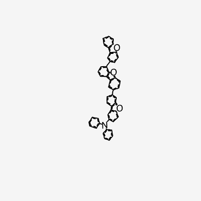 c1ccc(N(c2ccccc2)c2ccc3oc4cc(-c5ccc6oc7c(-c8ccc9oc%10ccccc%10c9c8)cccc7c6c5)ccc4c3c2)cc1